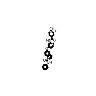 CN1CCC(C(=O)Nc2cc(Oc3ccc4c(ccn4C(=O)Nc4ccccc4)c3)ccn2)CC1